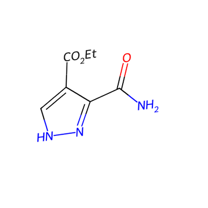 CCOC(=O)c1c[nH]nc1C(N)=O